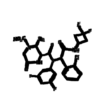 CC(C)(C)C1[C@@H](C(=O)N(c2cc(F)cc(F)c2)C(C(=O)NC2CC(F)(F)C2)c2ccccc2Cl)NC(=O)CN1C(=O)O